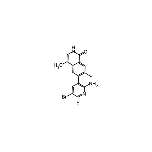 Cc1c[nH]c(=O)c2cc(F)c(-c3cc(Br)c(F)nc3N)cc12